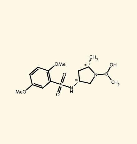 COc1ccc(OC)c(S(=O)(=O)N[C@@H]2C[C@H](C)N(B(C)O)C2)c1